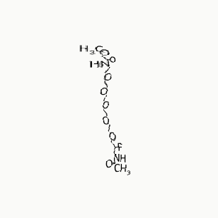 COCC(=O)NCCOCCOCCOCCOCCOCC(F)CNC(C)=O